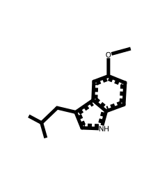 COc1ccc2[nH]cc(CC(C)C)c2c1